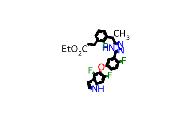 CCOC(=O)CCc1cccc([C@@H](C)c2nnc(-c3cc(Oc4c(F)cc5[nH]ccc5c4F)ccc3F)[nH]2)c1F